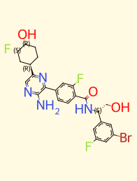 Nc1ncc([C@@H]2CC[C@@H](O)[C@@H](F)C2)nc1-c1ccc(C(=O)N[C@H](CO)c2cc(F)cc(Br)c2)c(F)c1